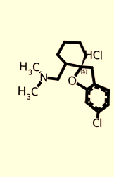 CN(C)CC1CCCC[C@]12Cc1ccc(Cl)cc1O2.Cl